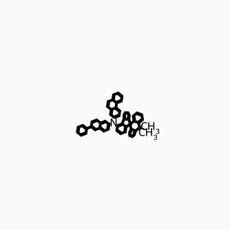 CC1(C)c2ccccc2C2(c3ccccc3-c3c(N(c4ccc5cc(-c6ccccc6)ccc5c4)c4ccc5c(ccc6ccccc65)c4)cccc32)c2ccccc21